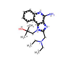 CCN(CC)Cc1nc2c(N)nc3ccccc3c2n1CC(C)(C)O